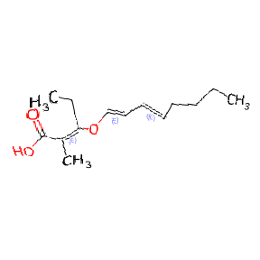 CCCC/C=C/C=C/O/C(CC)=C(\C)C(=O)O